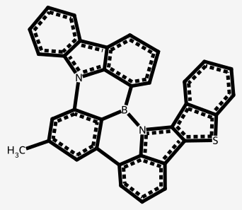 Cc1cc2c3c(c1)-n1c4ccccc4c4cccc(c41)B3n1c3c-2cccc3c2sc3ccccc3c21